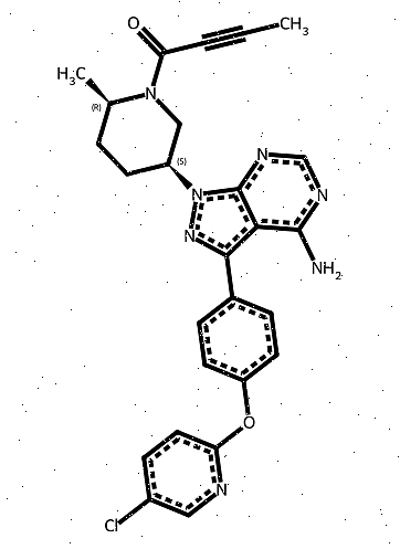 CC#CC(=O)N1C[C@@H](n2nc(-c3ccc(Oc4ccc(Cl)cn4)cc3)c3c(N)ncnc32)CC[C@H]1C